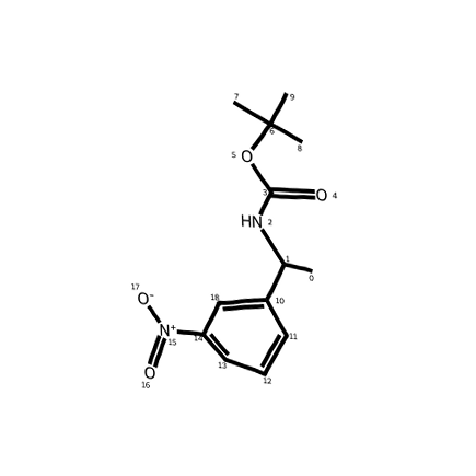 CC(NC(=O)OC(C)(C)C)c1cccc([N+](=O)[O-])c1